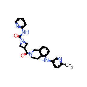 O=C(Nc1ccccn1)N1CC(C(=O)N2CCc3c(cccc3Nc3ccc(C(F)(F)F)nc3)C2)C1